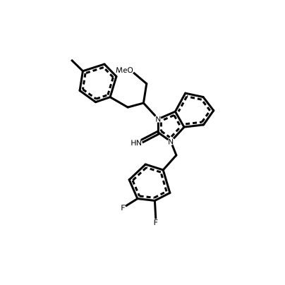 COCC(Cc1ccc(C)cc1)n1c(=N)n(Cc2ccc(F)c(F)c2)c2ccccc21